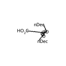 CCCCCCCCCCCCCCCCCC(=O)OCC(COC(=O)CCCCCCCCCCCCCCCCC)OC(=O)CCCCCCCC=CCCCCCCCC(=O)O